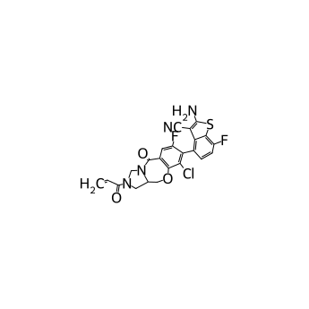 C=CC(=O)N1CC2COc3c(cc(F)c(-c4ccc(F)c5sc(N)c(C#N)c45)c3Cl)C(=O)N2C1